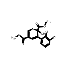 COC(=O)C1=COC(O)(C(=O)OC)C(c2cccc(Cl)c2Cl)=C1